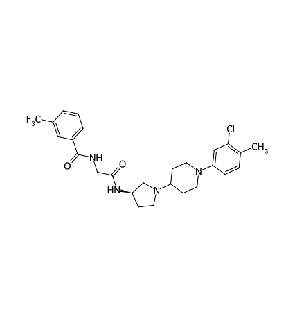 Cc1ccc(N2CCC(N3CC[C@@H](NC(=O)CNC(=O)c4cccc(C(F)(F)F)c4)C3)CC2)cc1Cl